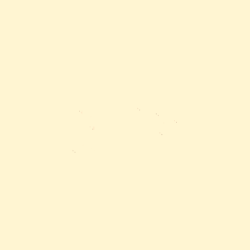 N=C(N)Nc1nc(-c2cccc(C(=N)NOC(N)=O)c2)cs1